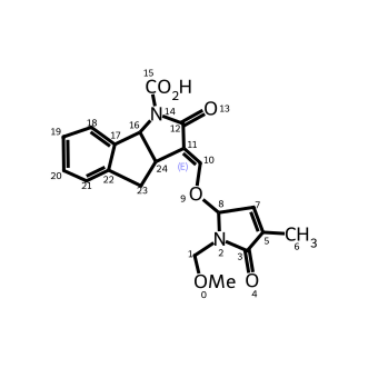 COCN1C(=O)C(C)=CC1O/C=C1/C(=O)N(C(=O)O)C2c3ccccc3CC12